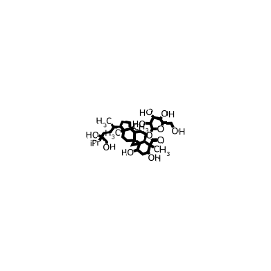 CC(CCC(O)(CO)C(C)C)C1CCC2(C)C3CCC4C(C)(C(=O)OC5OC(CO)C(O)C(O)C5O)C(O)CC(O)C45CC35CCC12C